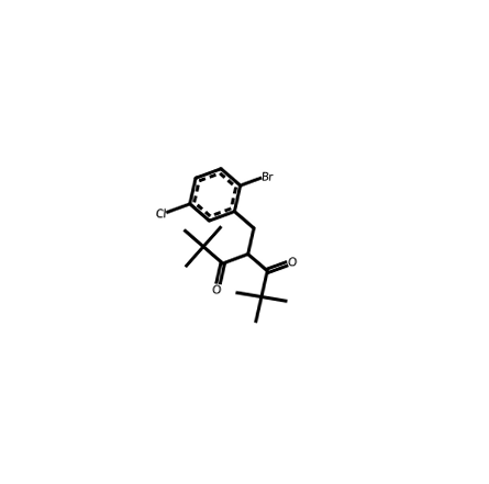 CC(C)(C)C(=O)C(Cc1cc(Cl)ccc1Br)C(=O)C(C)(C)C